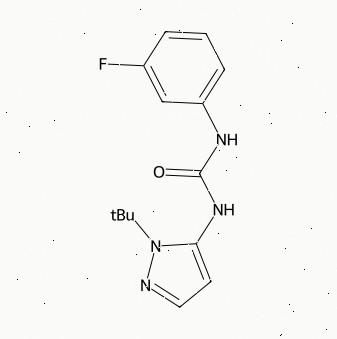 CC(C)(C)n1nccc1NC(=O)Nc1cccc(F)c1